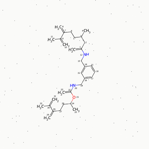 C=C(CC(C)CCC(=C)C(=C)C)NCc1cccc(CNC(=C)OC(C)CCC(=C)C(=C)C)c1